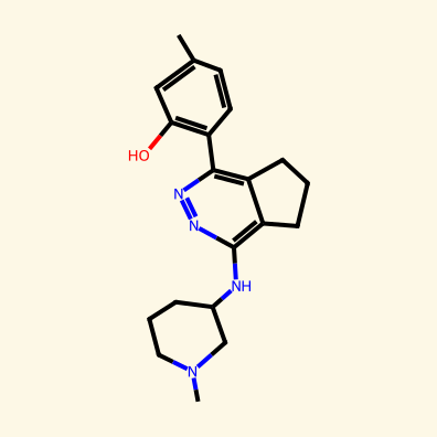 Cc1ccc(-c2nnc(NC3CCCN(C)C3)c3c2CCC3)c(O)c1